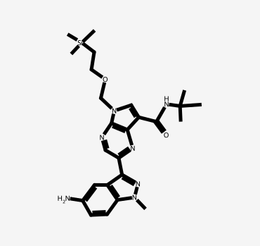 Cn1nc(-c2cnc3c(n2)c(C(=O)NC(C)(C)C)cn3COCC[Si](C)(C)C)c2cc(N)ccc21